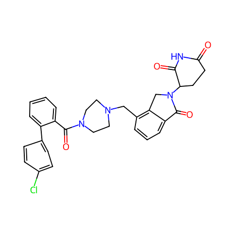 O=C1CCC(N2Cc3c(CN4CCN(C(=O)c5ccccc5-c5ccc(Cl)cc5)CC4)cccc3C2=O)C(=O)N1